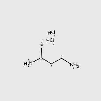 Cl.Cl.NCCC(N)F